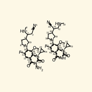 CNC(CC#N)C1CCN(c2c(F)cc3c(=O)n(N)c(=O)n(C4CC4)c3c2OC)C1.CNCC(C#N)C1CCN(c2c(F)cc3c(=O)[nH]c(=O)n(C4CC4)c3c2OC)C1